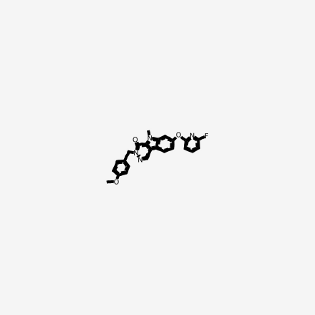 COc1ccc(Cn2ncc3c4ccc(Oc5cccc(F)n5)cc4n(C)c3c2=O)cc1